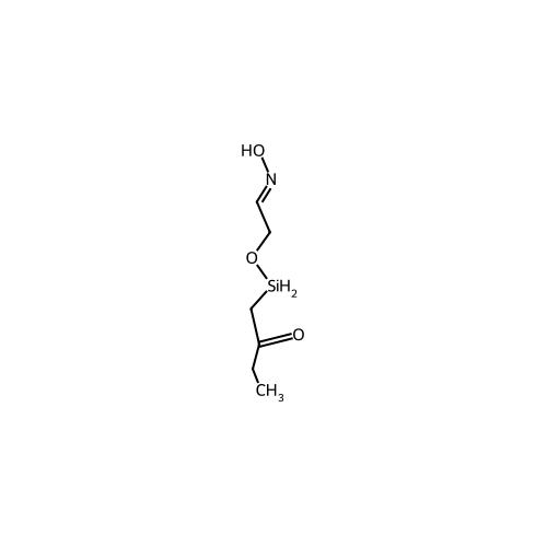 CCC(=O)C[SiH2]OCC=NO